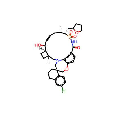 C[C@H]1C/C=C\[C@H](O)[C@@H]2CC[C@H]2CN2C[C@@]3(CCCc4cc(Cl)ccc43)COc3ccc(cc32)C(=O)NS(=O)(=O)[C@H]1C[C@H]1CCCO1